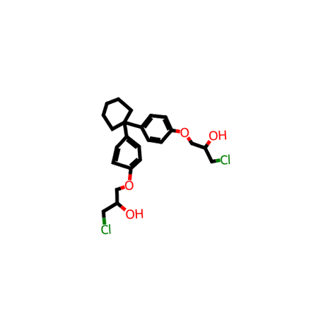 OC(CCl)COc1ccc(C2(c3ccc(OCC(O)CCl)cc3)CCCCC2)cc1